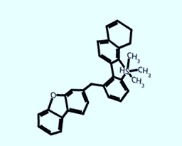 C[SH]1(C)(C)c2cccc(Cc3ccc4c(c3)oc3ccccc34)c2-c2ccc3c(c21)CCC=C3